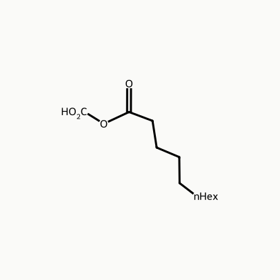 CCCCCCCCCCC(=O)OC(=O)O